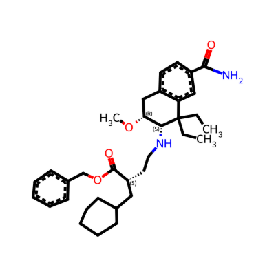 CCC1(CC)c2cc(C(N)=O)ccc2C[C@@H](OC)[C@H]1NCC[C@H](CC1CCCCC1)C(=O)OCc1ccccc1